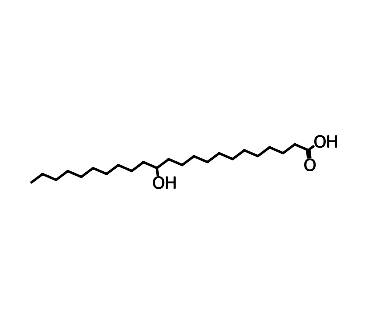 CCCCCCCCCCC(O)CCCCCCCCCCCC(=O)O